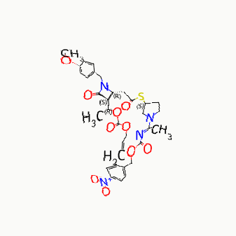 C=CCOC(=O)O[C@H](C)[C@H]1C(=O)N(Cc2ccc(OC)cc2)[C@@H]1CC(=O)S[C@H]1CCN(C(C)=NC(=O)OCc2ccc([N+](=O)[O-])cc2)C1